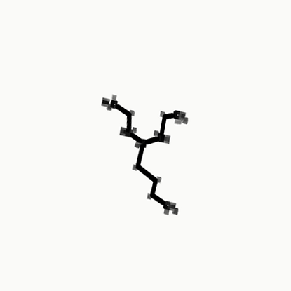 CCCCN(NCC)NCC